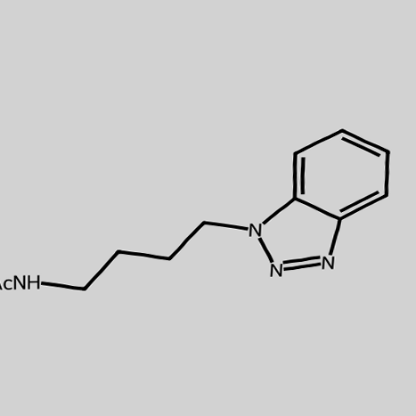 CC(=O)NCCCCn1nnc2ccccc21